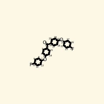 O=C(c1ccc(Oc2ccc(F)cc2)cc1)c1ccc(Oc2ccc(F)cc2)cc1